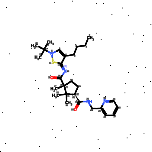 CCCCc1cn(C(C)(C)C)s/c1=N\C(=O)[C@]1(C)CC[C@H](C(=O)NCc2ccccn2)C1(C)C